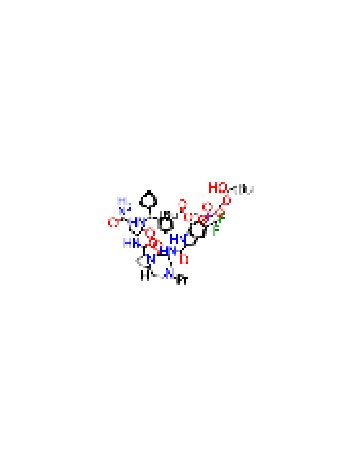 CC(C)N1CC[C@H]2CC[C@@H](C(=O)N[C@@H](CCC(N)=O)C(=O)NC(c3ccccc3)c3ccccc3)N2C(=O)[C@@H](NC(=O)c2cc3cc(C(F)(F)P(=O)(OCOC(=O)C(C)(C)C)OCOC(O)C(C)(C)C)ccc3[nH]2)C1